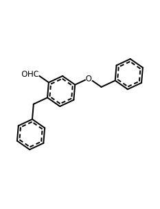 O=Cc1cc(OCc2ccccc2)ccc1Cc1ccccc1